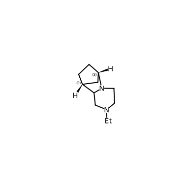 CCN1CCN2C(C1)[C@@H]1CC[C@H]2C1